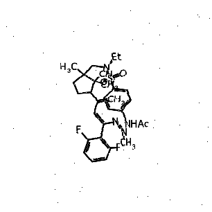 C=C(/C=C(\N=N/C)c1c(F)cccc1F)C1CCC(C)(CN(CC)S(=O)(=O)c2ccc(NC(C)=O)cc2)C1(C)C